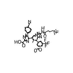 Cc1c(-c2nc(C(=O)O)nn2-c2ccc(C#N)cc2)cn2nc(NC(=O)CCC[N+](C)(C)C)nc2c1-c1cccc(C(F)(F)F)c1.O=C[O-]